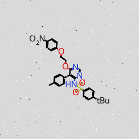 Cc1ccc(-c2c(NS(=O)(=O)c3ccc(C(C)(C)C)cc3)ncnc2OCCOc2ccc([N+](=O)[O-])cc2)cc1